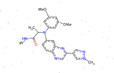 COc1cc(OC)cc(N(c2ccc3ncc(-c4cnn(C)c4)nc3c2)C(C)C(=O)NC(C)C)c1